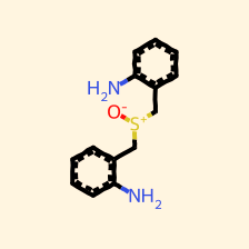 Nc1ccccc1C[S+]([O-])Cc1ccccc1N